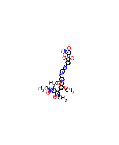 CNC(=O)N1CCc2c(-c3cc(OC)c(CN4CCC(CN5CCC6(CC5)CN(c5ccc7c(c5)C(=O)N(C5CCC(=O)NC5=O)C7=O)C6)CC4)c(OC)c3)cn(C)c(=O)c2C1